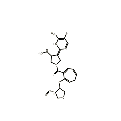 CNC1CN(C(=O)C2=CC=CCC=C2OC2COC[C@@H]2N=O)C/C1=C1\N=CC(Cl)=C(C)N1